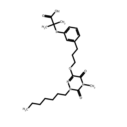 CCCCCCCn1nc(OCCCc2cccc(SC(C)(C)C(=O)O)c2)c(=O)n(C)c1=O